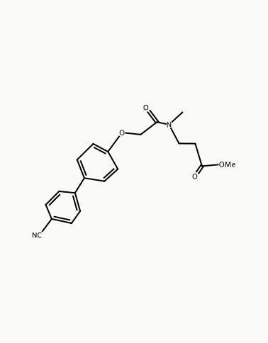 COC(=O)CCN(C)C(=O)COc1ccc(-c2ccc(C#N)cc2)cc1